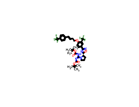 CC(C)(C)OC(=O)/N=C(/NC(=O)OC(C)(C)C)N1CCC[C@H]1c1nc(-c2ccc(OCC/C=C/c3ccc(C(F)(F)F)cc3)c(C(F)(F)F)c2)no1